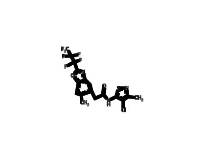 Cc1cc2oc(C(F)(F)C(F)(F)C(F)(F)F)nc2cc1CC(=O)Nc1snc(C)c1Cl